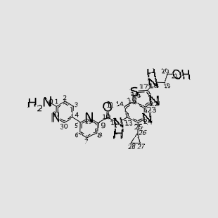 Nc1ccc(-c2cccc(C(=O)Nc3cc4sc(NCCO)nc4nc3C3CC3)n2)cn1